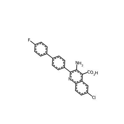 Nc1c(-c2ccc(-c3ccc(F)cc3)cc2)nc2ccc(Cl)cc2c1C(=O)O